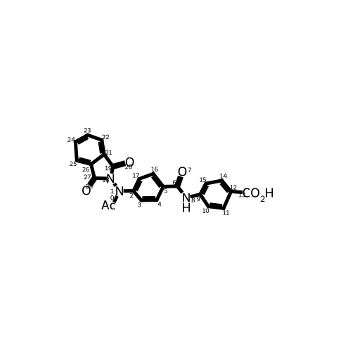 CC(=O)N(c1ccc(C(=O)Nc2ccc(C(=O)O)cc2)cc1)N1C(=O)c2ccccc2C1=O